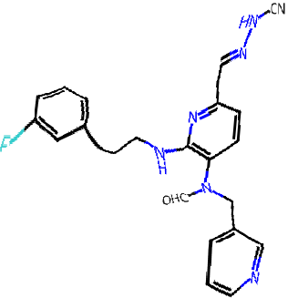 N#CNN=Cc1ccc(N(C=O)Cc2cccnc2)c(NCCc2cccc(F)c2)n1